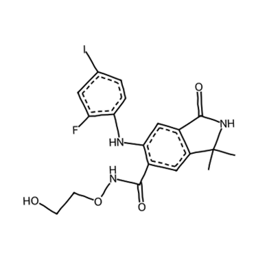 CC1(C)NC(=O)c2cc(Nc3ccc(I)cc3F)c(C(=O)NOCCO)cc21